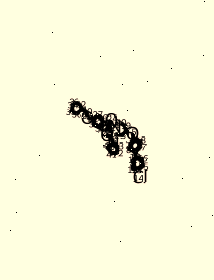 O=C([C@H]1C[C@H](Oc2ccc(-c3ccc(Cl)cc3)cc2)CCN1S(=O)(=O)c1ccc(OCC2CCCCC2)cc1)N1CCCC1